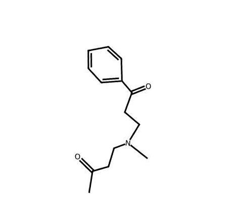 CC(=O)CCN(C)CCC(=O)c1ccccc1